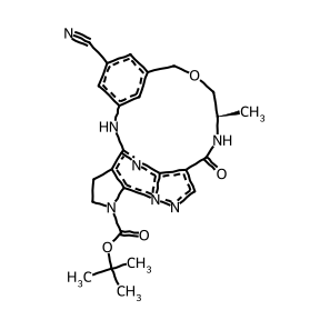 C[C@@H]1COCc2cc(C#N)cc(c2)Nc2nc3c(cnn3c3c2CCN3C(=O)OC(C)(C)C)C(=O)N1